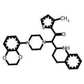 Cc1ccsc1C(=O)C(C1CCc2ccccc2N1)N1CCN(c2cccc3c2OCCO3)CC1